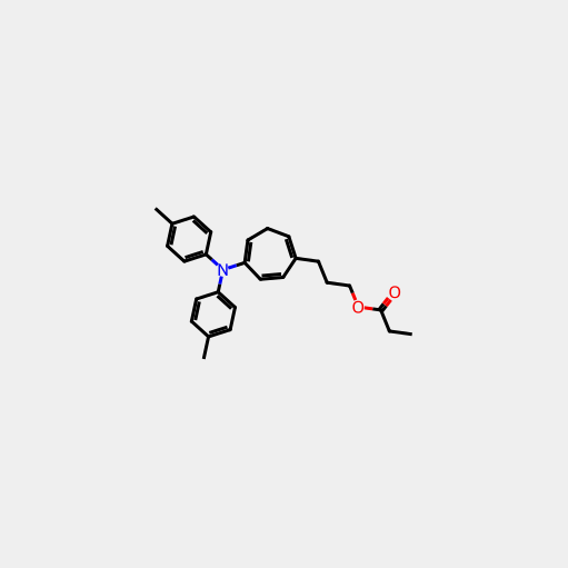 CCC(=O)OCCCC1=CCC=C(N(c2ccc(C)cc2)c2ccc(C)cc2)C=C1